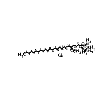 CCCCCCCCCCCCCCCCCCOCC(CSCCOC(C)[N+](C)(C)C)OC.[Cl-]